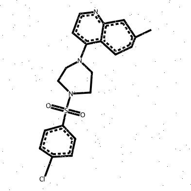 Cc1ccc2c(N3CCN(S(=O)(=O)c4ccc(Cl)cc4)CC3)ccnc2c1